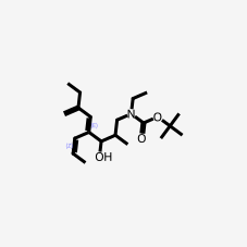 C=C(/C=C(\C=C/C)C(O)C(C)CN(CC)C(=O)OC(C)(C)C)CC